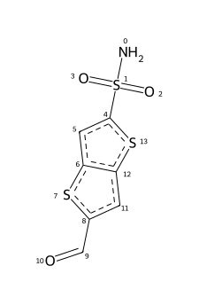 NS(=O)(=O)c1cc2sc(C=O)cc2s1